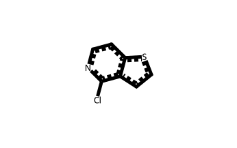 Clc1nccc2sccc12